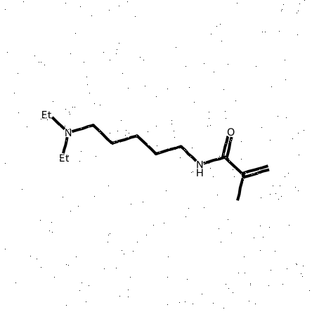 C=C(C)C(=O)NCCCCCN(CC)CC